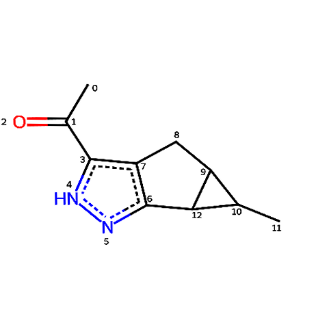 CC(=O)c1[nH]nc2c1CC1C(C)C21